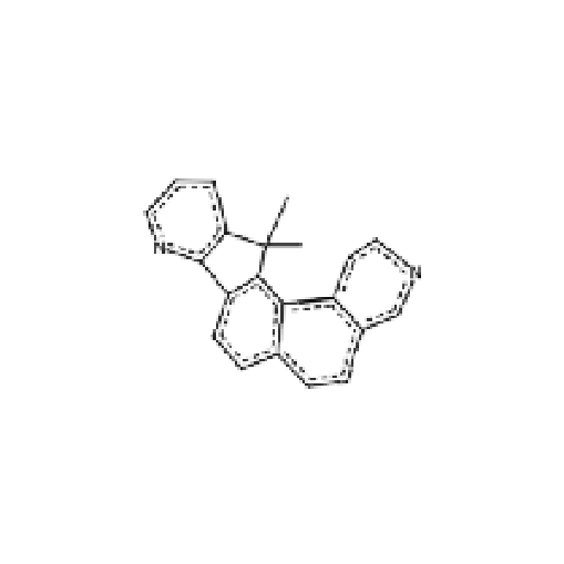 CC1(C)c2cccnc2-c2ccc3ccc4cnccc4c3c21